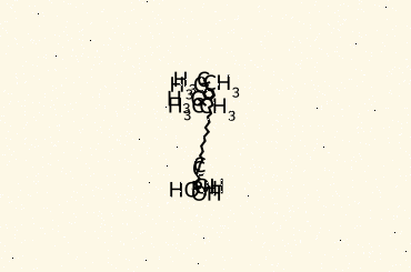 CC(C)(C)c1ccc(CCCCCCCCCCCCCCCCCC[PH](O)(O)O)c(C(C)(C)C)c1